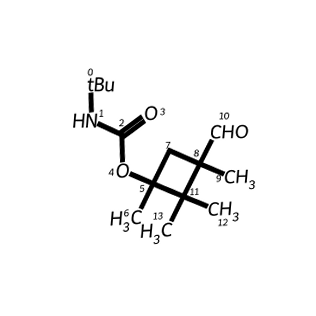 CC(C)(C)NC(=O)OC1(C)CC(C)(C=O)C1(C)C